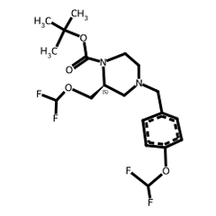 CC(C)(C)OC(=O)N1CCN(Cc2ccc(OC(F)F)cc2)C[C@H]1COC(F)F